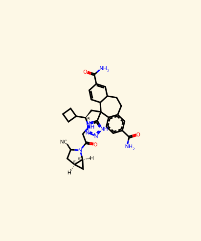 N#CC1C[C@@H]2C[C@@H]2N1C(=O)CN[C@H](CC1(c2nnn[nH]2)c2ccc(C(N)=O)cc2CCC2C=C(C(N)=O)C=CC21)C1CCC1